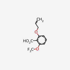 C=CCOc1cccc(OC(F)(F)F)c1C(=O)O